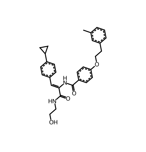 Cc1cccc(CCOc2ccc(C(=O)N/C(=C\c3ccc(C4CC4)cc3)C(=O)NCCO)cc2)c1